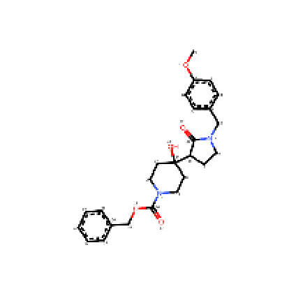 COc1ccc(CN2CCC(C3(O)CCN(C(=O)OCc4ccccc4)CC3)C2=O)cc1